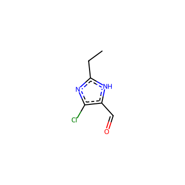 CCc1nc(Cl)c(C=O)[nH]1